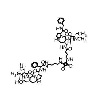 CC[C@H](NC)C(=O)N[C@@H]1C(=O)N2[C@@H](CC[C@@H]1CNC(=O)CCCNc1c(NCCCCNC(=O)[C@@H](NC(=O)[C@@H]3CC[C@@H]4CC[C@H](CCO)[C@H](NC(=O)[C@H](CC)NC)C(=O)N43)c3ccccc3)c(=O)c1=O)CC[C@H]2C(=O)NCc1ccccc1